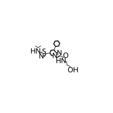 CC(C)Nc1ncc(-c2cc(-c3ccccc3)c3nc(C(=O)NCCCO)cn3c2)s1